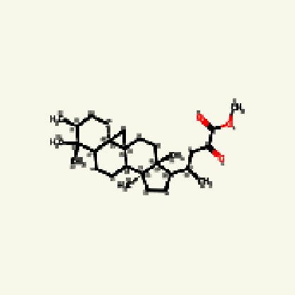 COC(=O)C(=O)C[C@@H](C)[C@H]1CC[C@@]2(C)C3CCC4C(C)(C)[C@@H](C)CC[C@@]45C[C@@]35CC[C@]12C